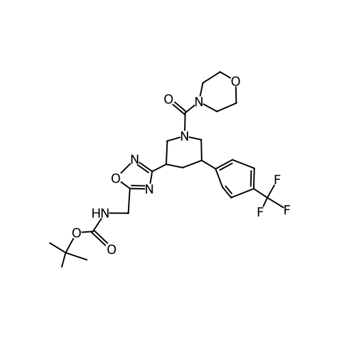 CC(C)(C)OC(=O)NCc1nc(C2CC(c3ccc(C(F)(F)F)cc3)CN(C(=O)N3CCOCC3)C2)no1